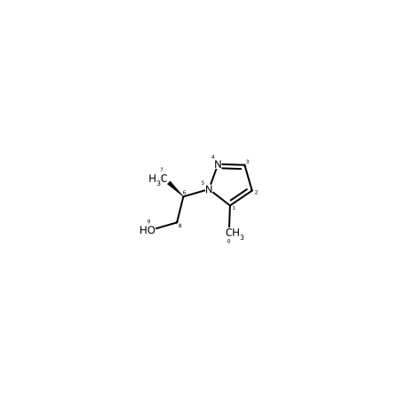 Cc1ccnn1[C@H](C)CO